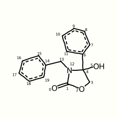 O=C1OCC(O)(c2ccccc2)N1Cc1ccccc1